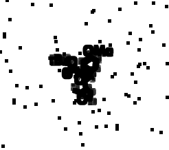 COc1ccc(CC(=O)c2ccoc2C)c(NC(=O)OC(C)(C)C)c1